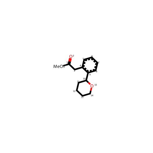 COC(=O)Cc1ccccc1C1CCCCO1